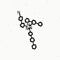 N#Cc1ccc(-c2cccc(-c3nc(-c4ccc(-c5ccc(-c6ccccc6)cc5)cc4)nc(-c4cc(-c5ccccc5)ccc4-c4ccccc4)n3)c2)cc1